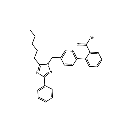 CCCCCc1nc(-c2ccccc2)nn1Cc1ccc(-c2ccccc2C(=O)O)nc1